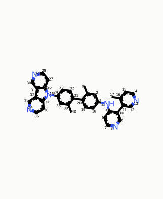 Cc1cc(Nc2ccncc2-c2cnccc2C)ccc1-c1ccc(-n2c3ccncc3c3cnccc32)cc1C